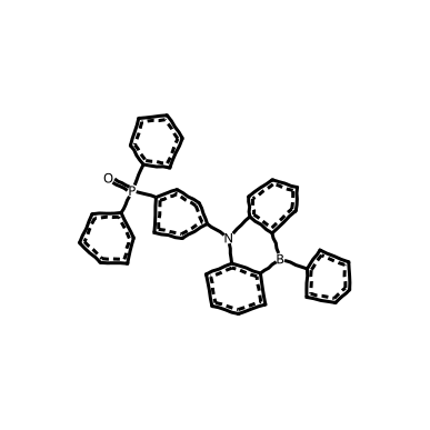 O=P(c1ccccc1)(c1ccccc1)c1ccc(N2c3ccccc3B(c3ccccc3)c3ccccc32)cc1